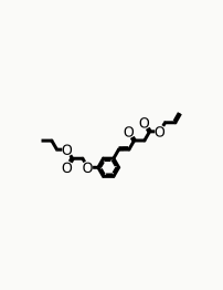 C=CCOC(=O)CC(=O)C=Cc1cccc(OCC(=O)OCCC)c1